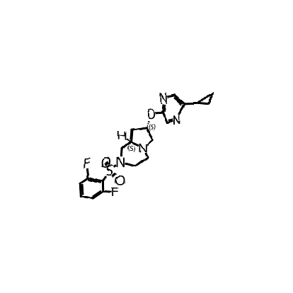 O=S(=O)(c1c(F)cccc1F)N1CCN2C[C@@H](Oc3cnc(C4CC4)cn3)C[C@H]2C1